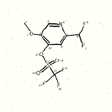 COc1cnc(C(F)F)cc1OS(=O)(=O)C(F)(F)F